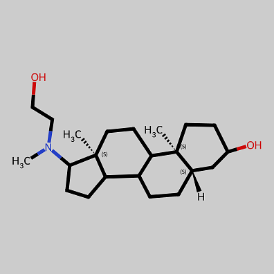 CN(CCO)C1CCC2C3CC[C@H]4CC(O)CC[C@]4(C)C3CC[C@@]21C